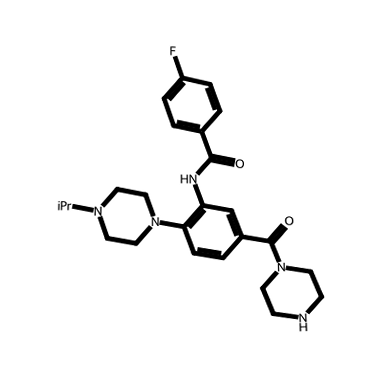 CC(C)N1CCN(c2ccc(C(=O)N3CCNCC3)cc2NC(=O)c2ccc(F)cc2)CC1